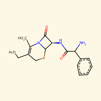 CC(=O)OCC1=C(C(=O)O)N2C(=O)[C@@H](NC(=O)C(N)c3ccccc3)C2SC1